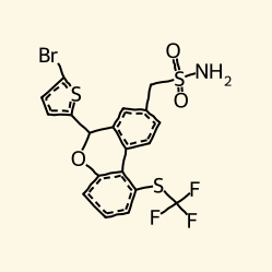 NS(=O)(=O)Cc1ccc2c(c1)C(c1ccc(Br)s1)Oc1cccc(SC(F)(F)F)c1-2